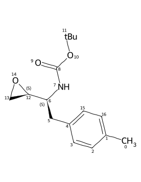 Cc1ccc(C[C@H](NC(=O)OC(C)(C)C)[C@H]2CO2)cc1